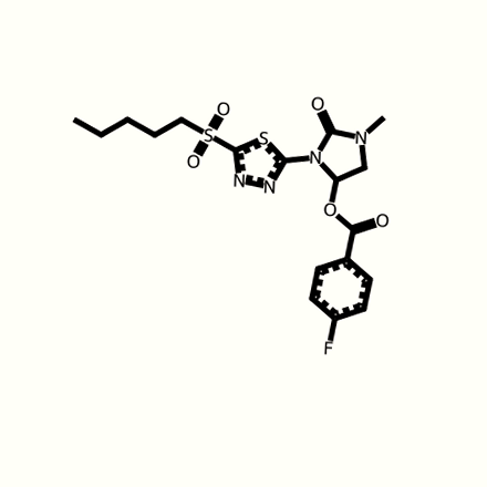 CCCCCS(=O)(=O)c1nnc(N2C(=O)N(C)CC2OC(=O)c2ccc(F)cc2)s1